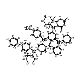 Cc1cc(C)c2c(c1)C1(C)CCCCC1(C)N2c1cc2c3c(c1)N(c1ccc(C(C)(C)C)cc1)c1cc(N4c5ccc(-c6ccccc6)cc5C5(C)CCCCC45C)ccc1B3c1ccccc1N2c1ccccc1